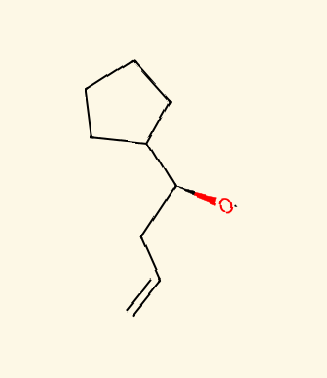 C=CC[C@H]([O])C1CCCC1